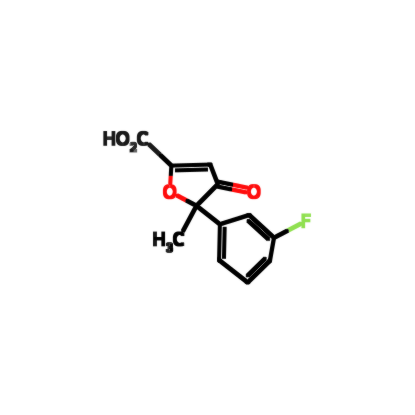 CC1(c2cccc(F)c2)OC(C(=O)O)=CC1=O